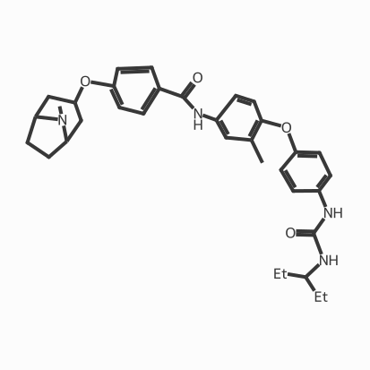 CCC(CC)NC(=O)Nc1ccc(Oc2ccc(NC(=O)c3ccc(OC4CC5CCC(C4)N5C)cc3)cc2C)cc1